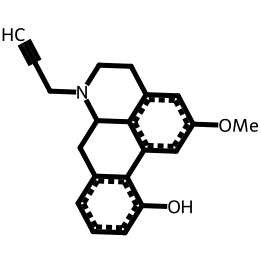 C#CCN1CCc2cc(OC)cc3c2C1Cc1cccc(O)c1-3